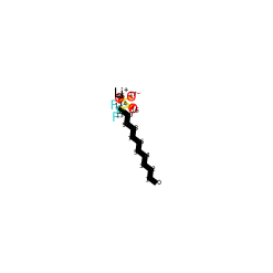 CCCCCCCCCCCC(F)(F)S(=O)(=O)[O-].[Li+]